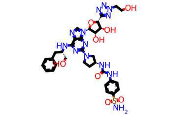 NS(=O)(=O)c1ccc(NC(=O)N[C@@H]2CCN(c3nc(N[C@H](CO)Cc4ccccc4)c4ncn([C@@H]5O[C@H](c6nnn(CCO)n6)[C@@H](O)[C@@H]5O)c4n3)C2)cc1